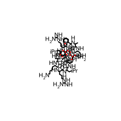 CC(C)CC(NC(=O)C(CC(C)C)NC(=O)C(CCCNC(=N)N)NC(=O)C(CCCCN)NC(=O)C(C)(C)NC(=O)C(CC(C)C)NC(=O)C(CCCCN)NC(=O)C(CCCNC(=N)N)NC(=O)C(CC(C)C)NC(=O)C(CS)NC(=O)C(CO)NC(=O)C(C)NC(=O)c1ccccn1)C(=O)NC(CO)CS